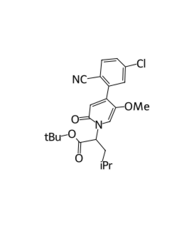 COc1cn(C(CC(C)C)C(=O)OC(C)(C)C)c(=O)cc1-c1cc(Cl)ccc1C#N